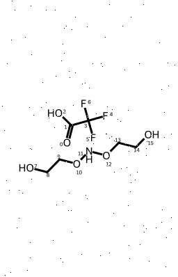 O=C(O)C(F)(F)F.OCCONOCCO